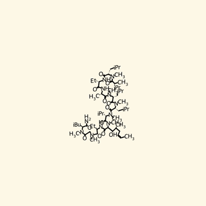 C/C=C\C[C@H](C)[C@H](O)C(C(=O)N[C@H](CC)C(=O)N(C)CC(=O)N(C)[C@H](C(N)=O)C(C)CC)N(C)C(=O)[C@H](C(C)C)N(C)C(=O)[C@@H](CC(C)C)N(C)C(=O)[C@@H](CC(C)C)N(C)C(=O)[C@H](C)NC(=O)[C@H](CC)NC(=O)[C@H](CC(C)C)N(C)C(=O)[C@H](C)C(C)C